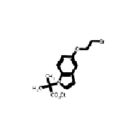 CCOC(=O)C(C)(C)n1ccc2cc(OCCBr)ccc21